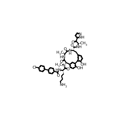 C[C@@H]1NC(=O)[C@@H](N(C)C(=O)[C@H](CCCCN)NC(=O)c2ccc(-c3ccc(Cl)cc3)cc2)c2ccc(O)c(c2)-c2cc(ccc2O)C[C@@H](C(=O)N[C@@H](C)C(=O)c2ccn[nH]2)NC1=O